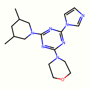 CC1CC(C)CN(c2nc(N3CCOCC3)nc(-n3ccnc3)n2)C1